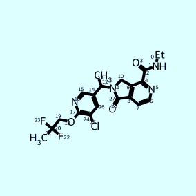 CCNC(=O)c1nccc2c1CN(C(C)c1cnc(OCC(C)(F)F)c(Cl)c1)C2=O